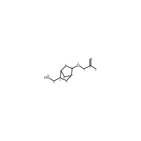 C=C(C)COC1CC2CC1CC2CO